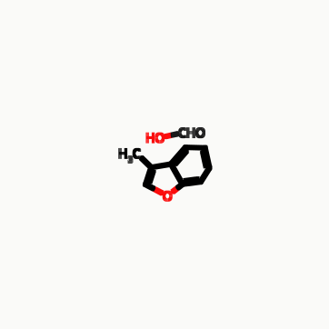 Cc1coc2ccccc12.O=CO